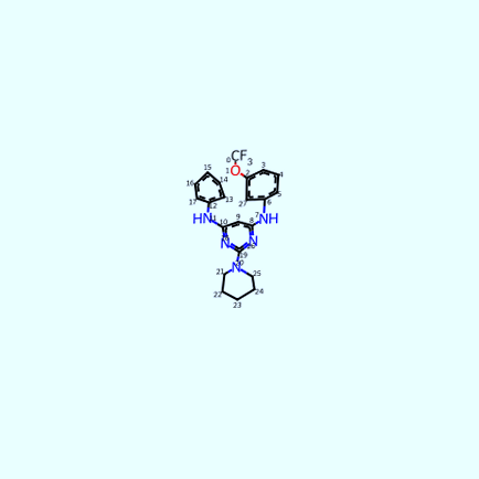 FC(F)(F)Oc1cccc(Nc2cc(Nc3ccccc3)nc(N3CCCCC3)n2)c1